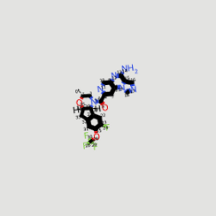 C[C@@H]1CN(C(=O)c2cc3c(cn2)nc(N)c2cncn23)[C@H]2c3cc(F)c(OC(F)(F)F)cc3C[C@H]2O1